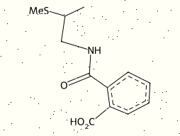 CSC(C)CNC(=O)c1ccccc1C(=O)O